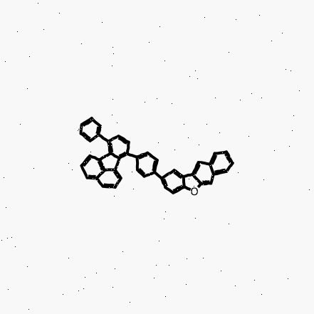 c1ccc(-c2ccc(-c3ccc(-c4ccc5oc6cc7ccccc7cc6c5c4)cc3)c3c2-c2cccc4cccc-3c24)cc1